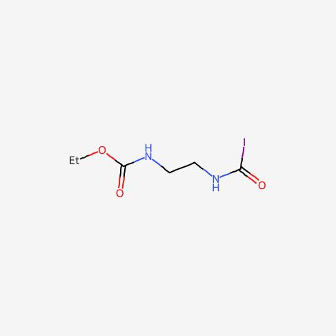 CCOC(=O)NCCNC(=O)I